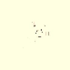 COCC1CCc2c(c[nH]c(=O)c2C#N)C1